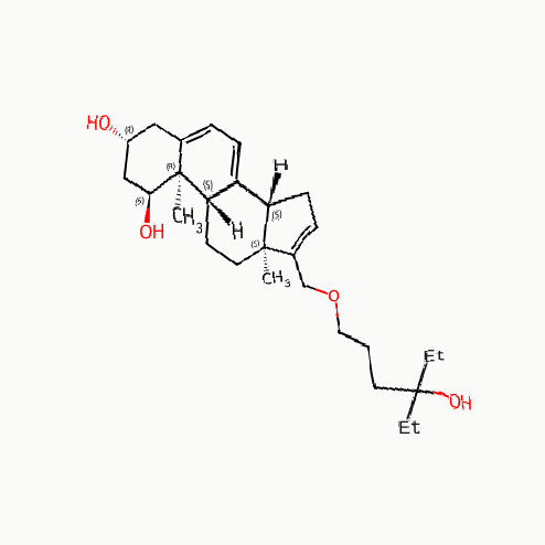 CCC(O)(CC)CCCOCC1=CC[C@H]2C3=CC=C4C[C@@H](O)C[C@H](O)[C@]4(C)[C@H]3CC[C@]12C